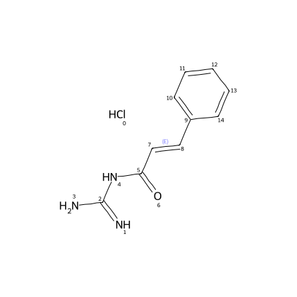 Cl.N=C(N)NC(=O)/C=C/c1ccccc1